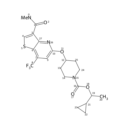 CNC(=O)c1csc2c(C(F)(F)F)cc(OC3CCN(C(=O)OC(C)C4CC4)CC3)nc12